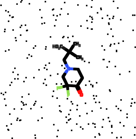 CC(C)(CN1CCC(=O)C(F)(F)C1)C(=O)O